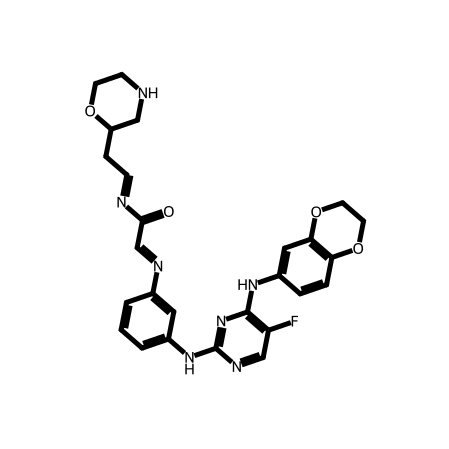 O=C(C=Nc1cccc(Nc2ncc(F)c(Nc3ccc4c(c3)OCCO4)n2)c1)N=CCC1CNCCO1